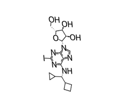 OC[C@H]1O[C@@H](n2cnc3c(N[C@H](C4CCC4)C4CC4)nc(I)nc32)[C@H](O)[C@@H]1O